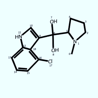 CN1CCCC1C(O)(O)c1c[nH]c2cccc(Cl)c12